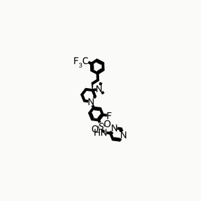 CN(C)[C@@]1(CCc2cccc(C(F)(F)F)c2)CCCN(c2ccc(S(=O)(=O)Nc3ccncn3)c(F)c2)C1